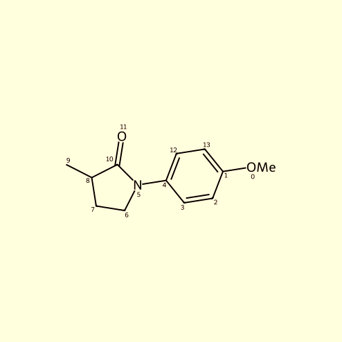 COc1ccc(N2CCC(C)C2=O)cc1